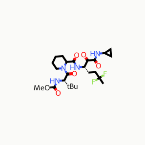 COC(=O)N[C@H](C(=O)N1CCCCC1C(=O)N[C@@H](CCC(C)(F)F)C(=O)C(=O)NC1CC1)C(C)(C)C